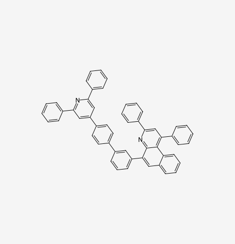 c1ccc(-c2cc(-c3ccc(-c4cccc(-c5cc6ccccc6c6c(-c7ccccc7)cc(-c7ccccc7)nc56)c4)cc3)cc(-c3ccccc3)n2)cc1